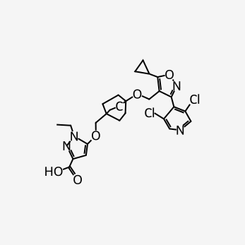 CCn1nc(C(=O)O)cc1OCC12CCC(OCc3c(-c4c(Cl)cncc4Cl)noc3C3CC3)(CC1)CC2